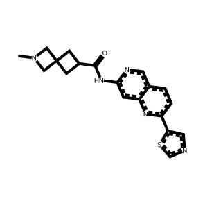 CN1CC2(CC(C(=O)Nc3cc4nc(-c5cncs5)ccc4cn3)C2)C1